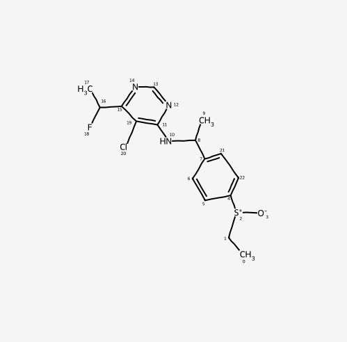 CC[S+]([O-])c1ccc(C(C)Nc2ncnc(C(C)F)c2Cl)cc1